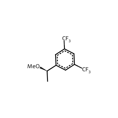 CO[C@H](C)c1cc(C(F)(F)F)cc(C(F)(F)F)c1